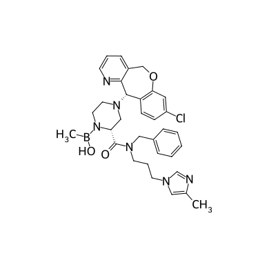 CB(O)N1CCN([C@H]2c3ccc(Cl)cc3OCc3cccnc32)C[C@@H]1C(=O)N(CCCn1cnc(C)c1)Cc1ccccc1